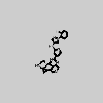 Fc1ccccc1-n1cc(Nc2cc(-c3nc(N4CCNCC4)c4c(C5CC5)cncc4n3)ccn2)cn1